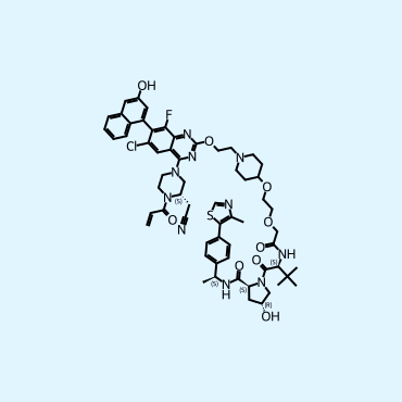 C=CC(=O)N1CCN(c2nc(OCCN3CCC(OCCOCC(=O)N[C@H](C(=O)N4C[C@H](O)C[C@H]4C(=O)N[C@@H](C)c4ccc(-c5scnc5C)cc4)C(C)(C)C)CC3)nc3c(F)c(-c4cc(O)cc5ccccc45)c(Cl)cc23)C[C@@H]1CC#N